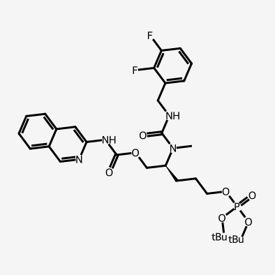 CN(C(=O)NCc1cccc(F)c1F)[C@@H](CCCOP(=O)(OC(C)(C)C)OC(C)(C)C)COC(=O)Nc1cc2ccccc2cn1